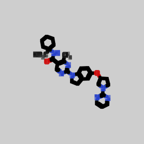 O=C(NC1(C(=O)O)CCCCC1)c1cnc(N2CCc3cc(O[C@H]4CCN(c5ncccn5)C4)ccc32)nc1C(F)(F)F